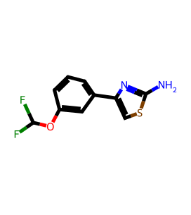 Nc1nc(-c2cccc(OC(F)F)c2)cs1